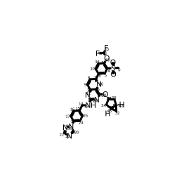 CS(=O)(=O)c1cc(-c2ccc3nc(NCc4ccc(-n5cncn5)cc4)nc(O[C@H]4C[C@@H]5C[C@@H]5C4)c3n2)ccc1OC(F)F